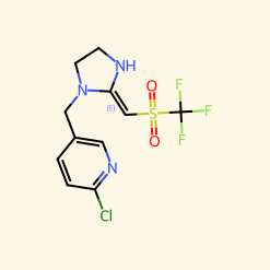 O=S(=O)(/C=C1\NCCN1Cc1ccc(Cl)nc1)C(F)(F)F